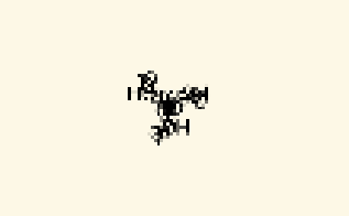 CC=CC(=O)OCC(O)COCCn1c(=O)n(CCOCC(O)COC(=O)C=CC)c(=O)n(CCOCC(O)COC(=O)C=CC)c1=O